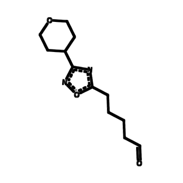 O=CCCCCc1nc(C2CCOCC2)no1